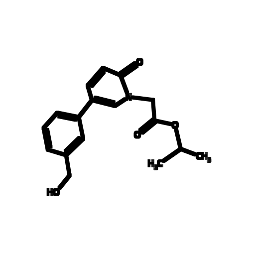 CC(C)OC(=O)Cn1cc(-c2cccc(CO)c2)ccc1=O